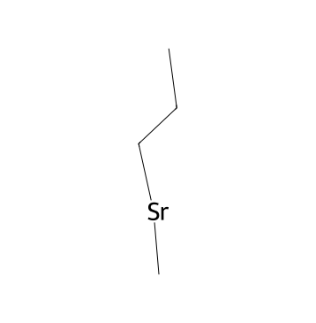 CC[CH2][Sr][CH3]